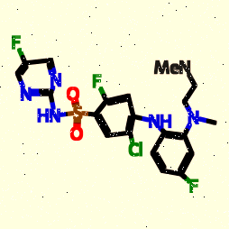 CNCCN(C)c1cc(F)ccc1Nc1cc(F)c(S(=O)(=O)Nc2ncc(F)cn2)cc1Cl